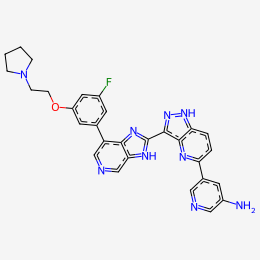 Nc1cncc(-c2ccc3[nH]nc(-c4nc5c(-c6cc(F)cc(OCCN7CCCC7)c6)cncc5[nH]4)c3n2)c1